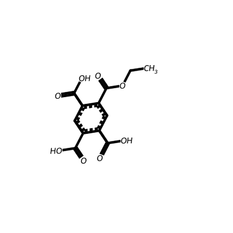 CCOC(=O)c1cc(C(=O)O)c(C(=O)O)cc1C(=O)O